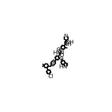 Cc1cc(S(=O)(=O)NC(=O)c2ccc(N3CCN(CC4=C(c5ccc(Cl)cc5)CC(C)(C)CC4)CC3)cc2Oc2ccc3[nH]ccc3c2)ccc1NCC1(O)CCN(C)CC1